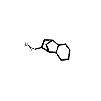 CCOC1CC2CC1C1CCCCC21